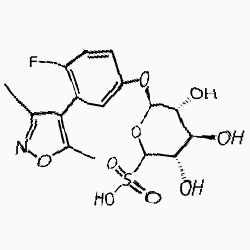 Cc1noc(C)c1-c1cc(O[C@@H]2OC(S(=O)(=O)O)[C@@H](O)[C@H](O)[C@H]2O)ccc1F